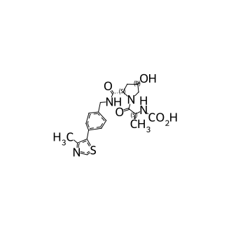 Cc1ncsc1-c1ccc(CNC(=O)[C@@H]2C[C@@H](O)CN2C(=O)[C@H](C)NC(=O)O)cc1